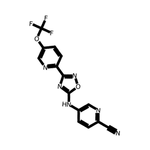 N#Cc1ccc(Nc2nc(-c3ccc(OC(F)(F)F)cn3)no2)cn1